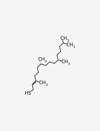 C/C(=C\CS)CCC[C@H](C)CCC[C@H](C)CCCC(C)C